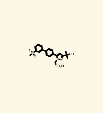 CCOC(=O)Cn1nc(C(C)(C)O)cc1-c1ccc(-c2cccc(S(C)(=O)=O)c2)cc1